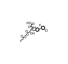 CCCC(=O)OCOC(=O)C(O)CN(Cc1ccc(-c2cc(Cl)ccc2F)cc1)NC(=O)C(=O)O